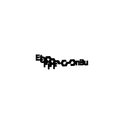 CCCC[C@H]1CC[C@H]([C@H]2CC[C@H](C=Cc3cc4ccc(OCC)c(F)c4c(F)c3F)CC2)CC1